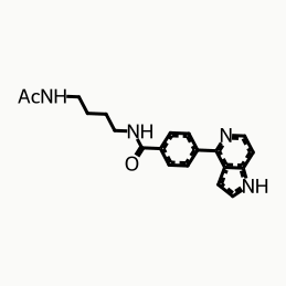 CC(=O)NCCCCNC(=O)c1ccc(-c2nccc3[nH]ccc23)cc1